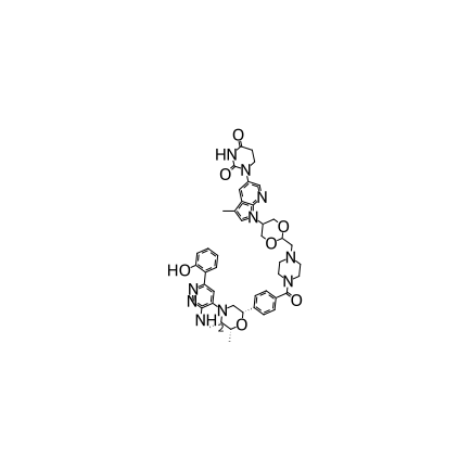 Cc1cn(C2COC(CN3CCN(C(=O)c4ccc([C@H]5CN(c6cc(-c7ccccc7O)nnc6N)[C@@H](C)[C@@H](C)O5)cc4)CC3)OC2)c2ncc(N3CCC(=O)NC3=O)cc12